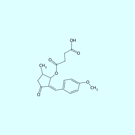 COc1ccc(C=C2C(=O)CC(C)C2OC(=O)CCC(=O)O)cc1